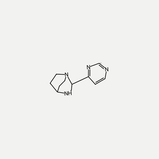 [c]1nccc(C2CNC3CCN2CC3)n1